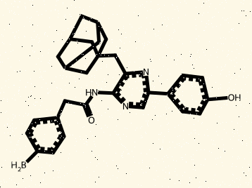 Bc1ccc(CC(=O)Nc2ncc(-c3ccc(O)cc3)nc2CC23CC4CC(CC(C4)C2)C3)cc1